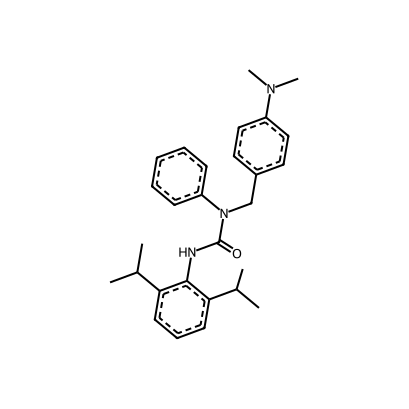 CC(C)c1cccc(C(C)C)c1NC(=O)N(Cc1ccc(N(C)C)cc1)c1ccccc1